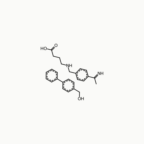 CC(=N)c1ccc(CNCCCC(=O)O)cc1.OCc1ccc(-c2ccccc2)cc1